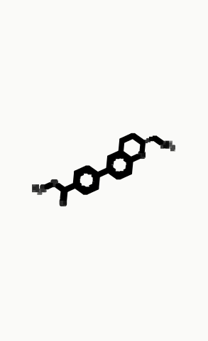 COC(=O)c1ccc(-c2ccc3c(c2)CC[C@H](CN)O3)cc1